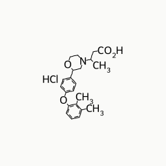 Cc1cccc(Oc2ccc(C3CN(C(C)CC(=O)O)CCO3)cc2)c1C.Cl